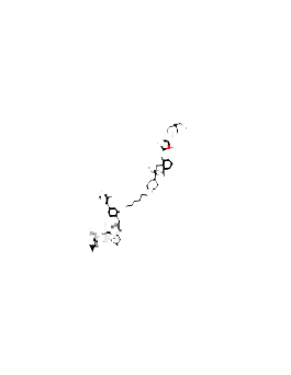 Cc1ncsc1-c1ccc(CNC(=O)[C@@H]2C[C@@H](O)CN2C(=O)[C@@H](NC(=O)C2(F)CC2)C(C)(C)C)c(OCCCCCCN2CCC(C(=O)Nc3cccc(Sc4cnc(N5CCC(C)(CN)CC5)cn4)c3Cl)CC2)c1